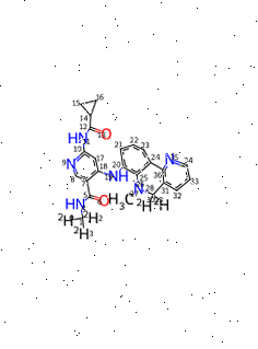 [2H]C([2H])([2H])NC(=O)c1cnc(NC(=O)C2CC2)cc1Nc1cccc2c1N(C)C([2H])([2H])c1cccnc1-2